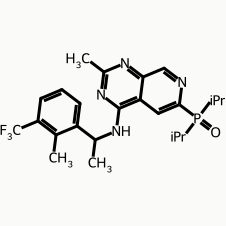 Cc1nc(NC(C)c2cccc(C(F)(F)F)c2C)c2cc(P(=O)(C(C)C)C(C)C)ncc2n1